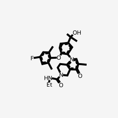 CCNC(=O)N1CCc2c(c(=O)c(C)cn2-c2cc(C(C)(C)O)ccc2Oc2c(C)cc(F)cc2C)C1